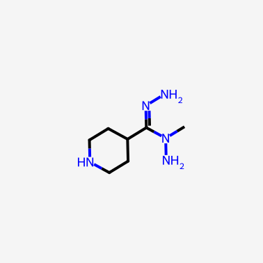 CN(N)/C(=N\N)C1CCNCC1